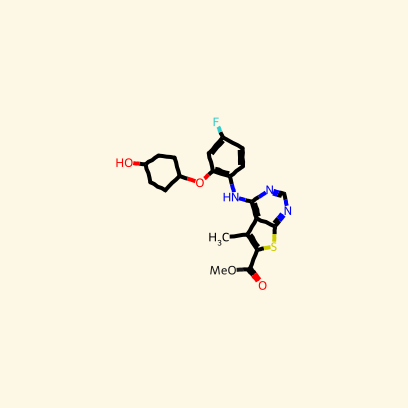 COC(=O)c1sc2ncnc(Nc3ccc(F)cc3OC3CCC(O)CC3)c2c1C